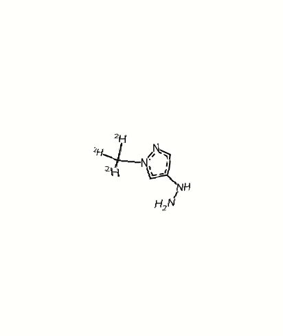 [2H]C([2H])([2H])n1cc(NN)cn1